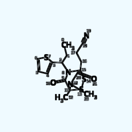 CCC(c1cccs1)N1C(=O)C2(C)SSC1(CCC#N)C(=O)N2C